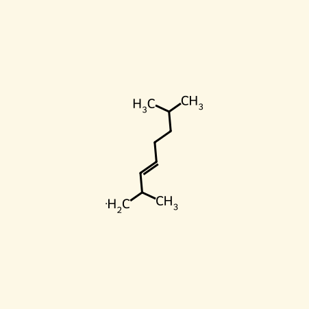 [CH2]C(C)C=CCCC(C)C